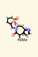 CNC1C(=O)N(CC2CCCS2(=O)=O)CCc2ncsc21